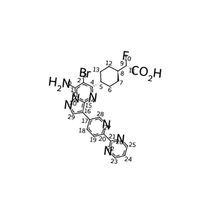 Nc1c(Br)c([C@H]2CC[C@H]([C@H](F)C(=O)O)CC2)nc2c(-c3ccc(-c4ncccn4)nc3)cnn12